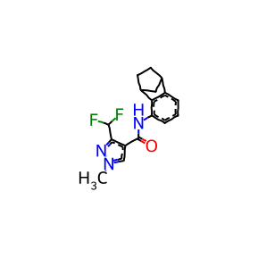 Cn1cc(C(=O)Nc2cccc3c2C2CCC3C2)c(C(F)F)n1